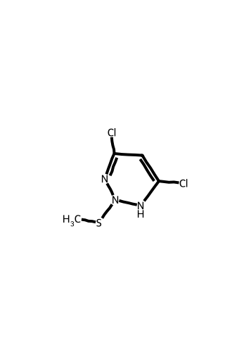 CSN1N=C(Cl)C=C(Cl)N1